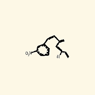 C=C/C(=C\C(=C)/C=C\c1cccc([N+](=O)[O-])c1)CC